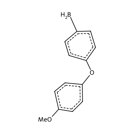 Bc1ccc(Oc2ccc(OC)cc2)cc1